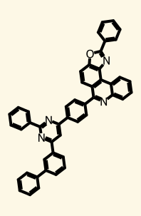 c1ccc(-c2cccc(-c3cc(-c4ccc(-c5nc6ccccc6c6c5ccc5oc(-c7ccccc7)nc56)cc4)nc(-c4ccccc4)n3)c2)cc1